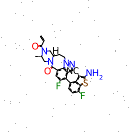 C=CC(=O)N1C[C@@H]2CCn3ncc4c(-c5ccc(F)c6sc(N)c(C#N)c56)c(F)cc(c43)C(=O)N2C[C@H]1C